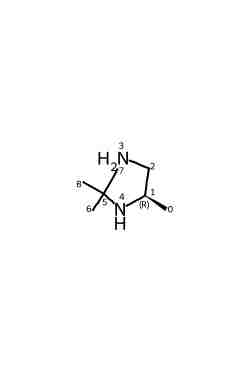 C[C@H](CN)NC(C)(C)C